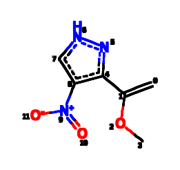 C=C(OC)c1n[nH]cc1[N+](=O)[O-]